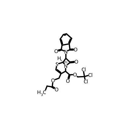 CCC(=O)OCC1=CS[C@H]2C(N3C(=O)c4ccccc4C3=O)C(=O)N2C1C(=O)OCC(Cl)(Cl)Cl